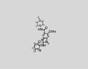 COc1cc2c(cc1C(=O)N[C@H]1CC[C@H](C)CC1)nc(Nc1c(Cl)ccc(C)c1F)n2C